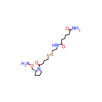 NOC[C@@H]1CCCN1C(=O)CCCSSCCNC(=O)CCCCC(N)=O